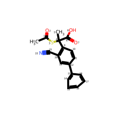 CC(=O)SC(C)(C(=O)O)c1ccc(-c2ccccc2)cc1C#N